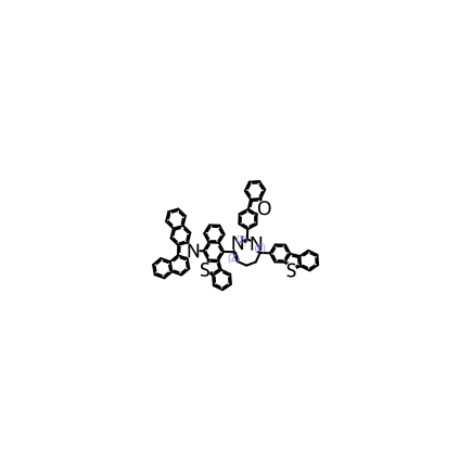 C1=C(c2c3ccccc3c(-n3c4cc5ccccc5cc4c4c5ccccc5ccc43)c3sc4ccccc4c23)/N=C(c2ccc3c(c2)oc2ccccc23)\N=C(\c2ccc3c(c2)sc2ccccc23)CC\1